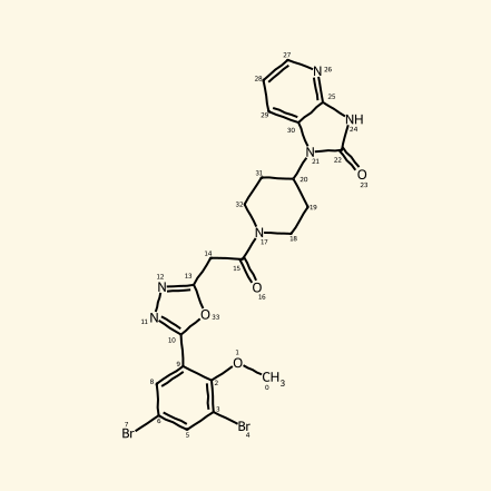 COc1c(Br)cc(Br)cc1-c1nnc(CC(=O)N2CCC(n3c(=O)[nH]c4ncccc43)CC2)o1